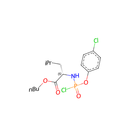 CCCCOC(=O)[C@H](CC(C)C)NP(=O)(Cl)Oc1ccc(Cl)cc1